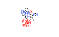 Cc1cn(-c2cc(NC(=O)c3ccc(C)c(Nc4nccc(-c5cccnc5)n4)c3)cc(C(F)(F)F)c2)cn1.O=P(O)(O)O.O=P(O)(O)O